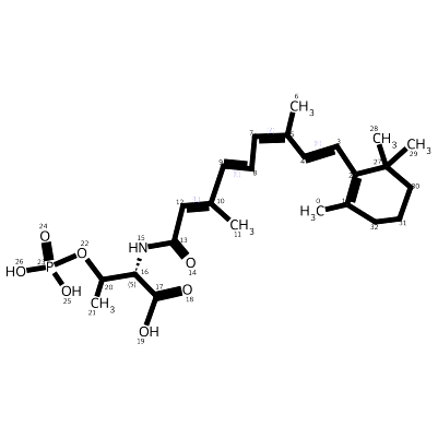 CC1=C(/C=C/C(C)=C\C=C\C(C)=C\C(=O)N[C@H](C(=O)O)C(C)OP(=O)(O)O)C(C)(C)CCC1